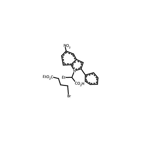 CCC(C(=O)O)n1c(-c2ccccc2)cc2cc([N+](=O)[O-])ccc21.CCOC(=O)CCCBr